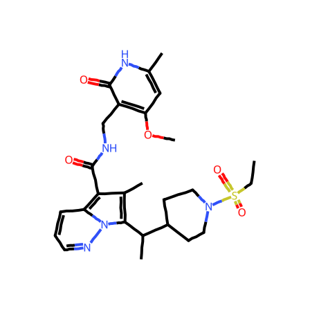 CCS(=O)(=O)N1CCC(C(C)c2c(C)c(C(=O)NCc3c(OC)cc(C)[nH]c3=O)c3cccnn23)CC1